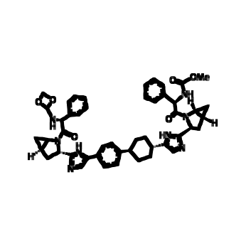 COC(=O)N[C@@H](C(=O)N1[C@@H]2C[C@@H]2C[C@H]1c1ncc([C@H]2CC[C@H](c3ccc(-c4cnc([C@@H]5C[C@H]6CC6N5C(=O)[C@H](NC5OCO5)c5ccccc5)[nH]4)cc3)CC2)[nH]1)c1ccccc1